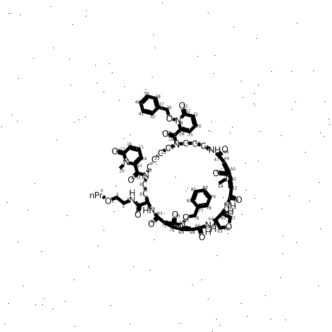 CCCOCCNC(=O)C1CCN(C(=O)c2cccc(=O)n2C)CCCCN(C(=O)c2cccc(=O)n2OCc2ccccc2)CCCNC(=O)c2ccc(n(C)c2=O)C(=O)N[C@@H]2COC[C@@H]2NC(=O)c2ccc(c(=O)n2OCc2ccccc2)C(=O)N1